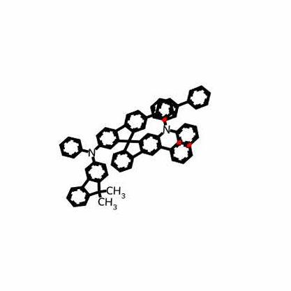 CC1(C)c2ccccc2-c2cc(N(c3ccccc3)c3ccc4c(c3)C3(c5ccccc5-c5cc(-c6ccccc6)c(N(c6ccccc6)c6ccccc6)cc53)c3cc(-c5ccc(-c6ccccc6)cc5)ccc3-4)ccc21